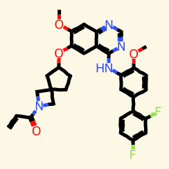 C=CC(=O)N1CC2(CCC(Oc3cc4c(Nc5cc(-c6ccc(F)cc6F)ccc5OC)ncnc4cc3OC)C2)C1